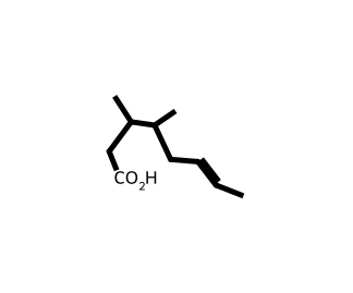 CC=CCC(C)C(C)CC(=O)O